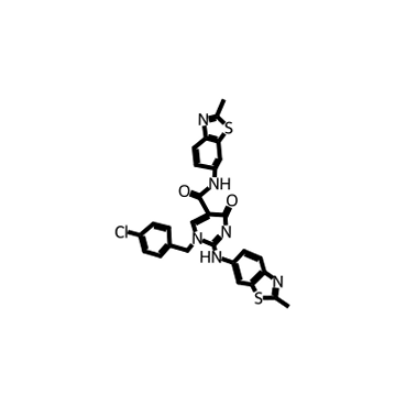 Cc1nc2ccc(NC(=O)c3cn(Cc4ccc(Cl)cc4)c(Nc4ccc5nc(C)sc5c4)nc3=O)cc2s1